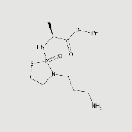 CC(C)OC(=O)[C@H](C)NP1(=O)SCCN1CCCN